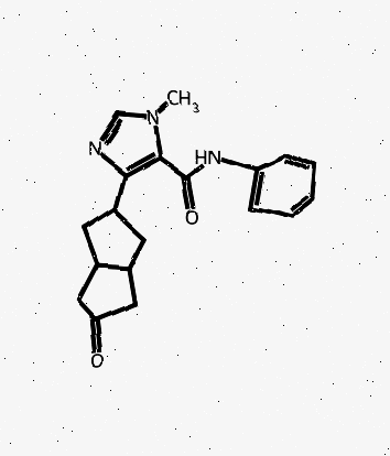 Cn1cnc(C2CC3CC(=O)CC3C2)c1C(=O)Nc1ccccc1